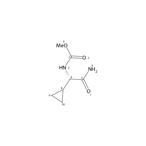 COC(=O)N[C@H](C(N)=O)C1CC1